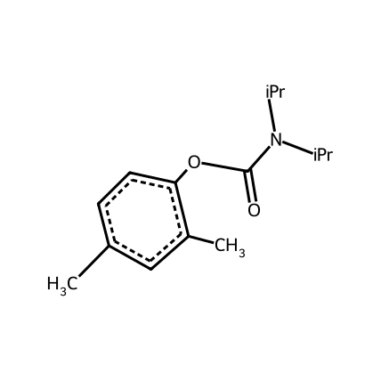 Cc1ccc(OC(=O)N(C(C)C)C(C)C)c(C)c1